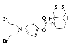 O=C(Oc1ccc(N(CCBr)CCBr)cc1)N1CCC[C@@H]2CSSC[C@H]21